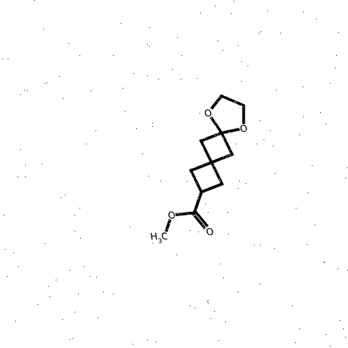 COC(=O)C1CC2(C1)CC1(C2)OCCO1